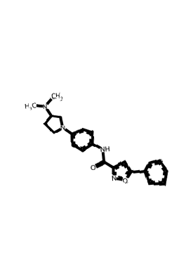 CN(C)C1CCN(c2ccc(NC(=O)c3cc(-c4ccccc4)on3)cc2)C1